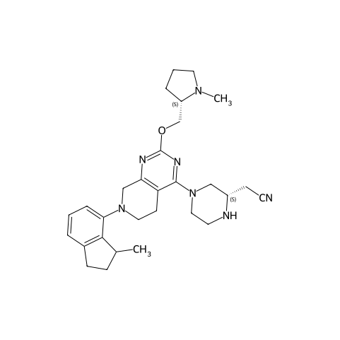 CC1CCc2cccc(N3CCc4c(nc(OC[C@@H]5CCCN5C)nc4N4CCN[C@@H](CC#N)C4)C3)c21